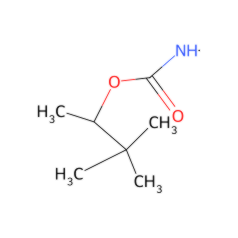 CC(OC([NH])=O)C(C)(C)C